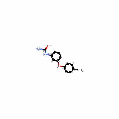 Cc1ccc(Oc2cccc(NC(N)=O)c2)cc1